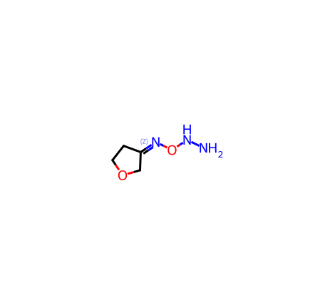 NNO/N=C1/CCOC1